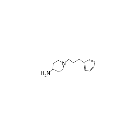 NC1CCN(CCCc2ccccc2)CC1